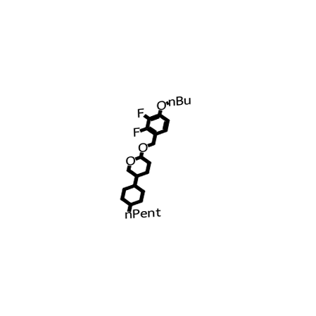 CCCCCC1CCC(C2CCC(OCc3ccc(OCCCC)c(F)c3F)OC2)CC1